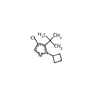 CC(C)(C)c1c(Cl)cnn1C1CCC1